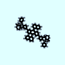 CC1(C)CCCC2(C)c3cc(-c4ccc5c(-c6cccc7ccccc67)c6cc(-c7ccc8c(c7)C7(C)CCCC(C)(C)C7(C)N8c7ccccc7)ccc6c(-c6cccc7ccccc67)c5c4)ccc3N(c3ccccc3)C12C